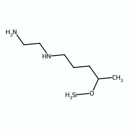 CC(CCCNCCN)O[SiH3]